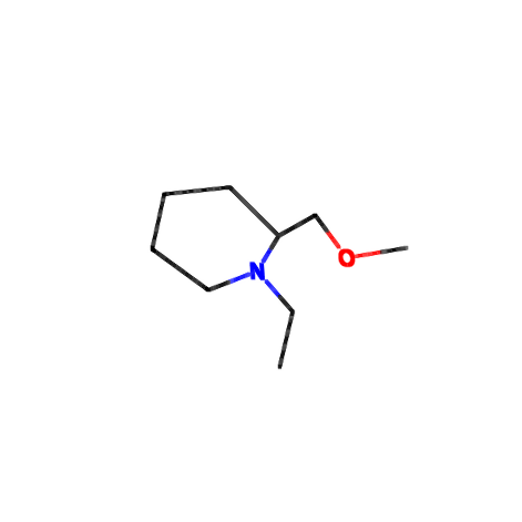 CCN1CCCCC1COC